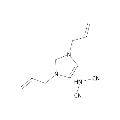 C=CCN1C=CN(CC=C)C1.N#CNC#N